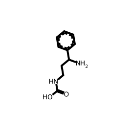 NC(CCNC(=O)O)c1ccccc1